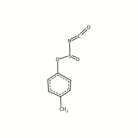 Cc1ccc(OS(=O)N=C=O)cc1